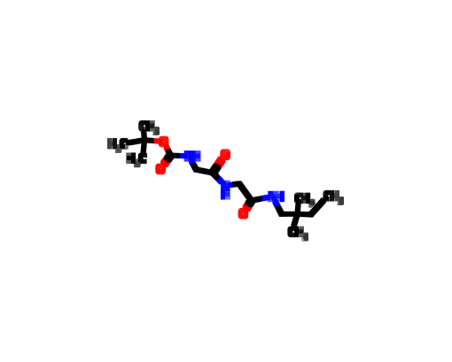 CCC(C)(C)CNC(=O)CNC(=O)CNC(=O)OC(C)(C)C